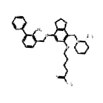 Cc1c(COc2cc(OCCCCC(N)=O)c(CN3CCCC[C@H]3C)c3c2CCC3)cccc1-c1ccccc1